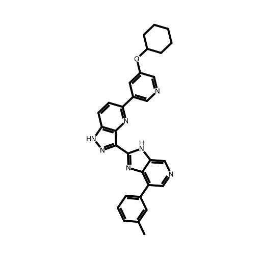 Cc1cccc(-c2cncc3[nH]c(-c4n[nH]c5ccc(-c6cncc(OC7CCCCC7)c6)nc45)nc23)c1